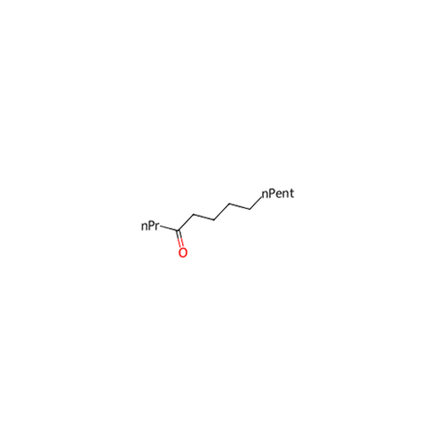 CCCCCCCCCC(=O)CCC